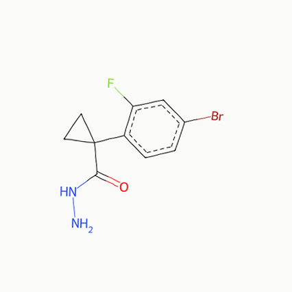 NNC(=O)C1(c2ccc(Br)cc2F)CC1